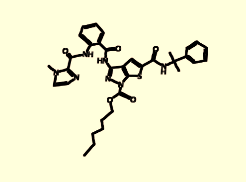 CCCCCCOC(=O)n1nc(NC(=O)c2ccccc2NC(=O)c2nccn2C)c2cc(C(=O)NC(C)(C)c3ccccc3)sc21